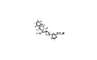 O=C(CNc1cccc(C(=O)O)c1)COCc1ccccc1N1CCCCC1